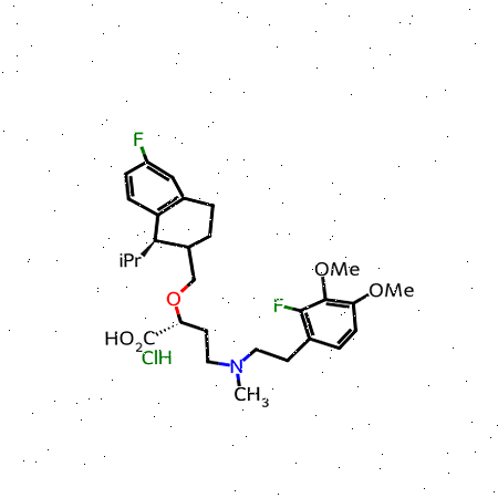 COc1ccc(CCN(C)CC[C@@H](OCC2CCc3cc(F)ccc3[C@@H]2C(C)C)C(=O)O)c(F)c1OC.Cl